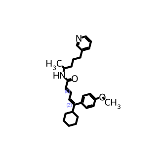 COc1ccc(/C(=C\C=C\C(=O)NC(C)CCCc2cccnc2)C2CCCCC2)cc1